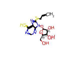 C=CCSc1nc2c(S)ncnc2n1OC1O[C@H](CO)[C@@H](O)[C@H]1O